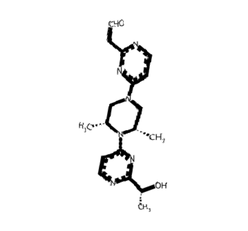 C[C@@H]1CN(c2ccnc(CC=O)n2)C[C@H](C)N1c1ccnc([C@@H](C)O)n1